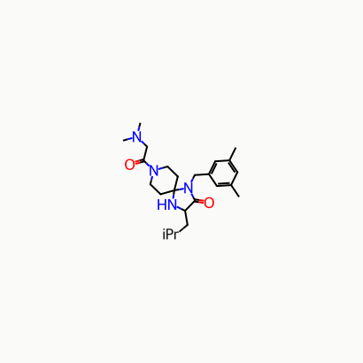 Cc1cc(C)cc(CN2C(=O)C(CC(C)C)NC23CCN(C(=O)CN(C)C)CC3)c1